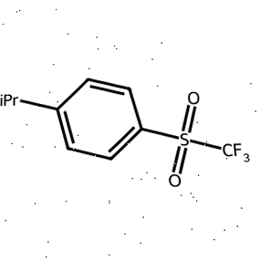 CC(C)c1ccc(S(=O)(=O)C(F)(F)F)cc1